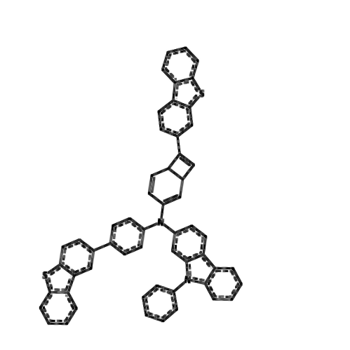 C1=CC2C(c3ccc4c(c3)sc3ccccc34)=CC2C=C1N(c1ccc(-c2ccc3sc4ccccc4c3c2)cc1)c1ccc2c3ccccc3n(-c3ccccc3)c2c1